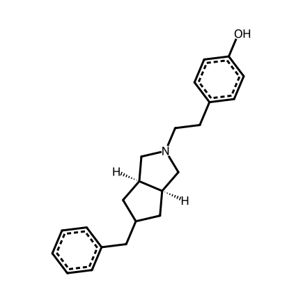 Oc1ccc(CCN2C[C@H]3CC(Cc4ccccc4)C[C@H]3C2)cc1